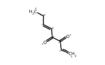 C=CC(=O)C(=O)C=CCC